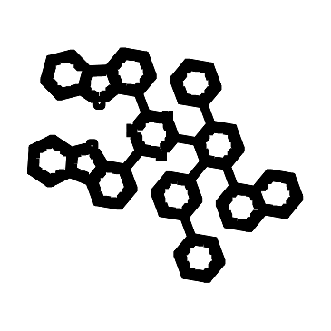 c1ccc(-c2cccc(-c3c(-c4cccc5ccccc45)ccc(-c4ccccc4)c3-c3nc(-c4cccc5c4oc4ccccc45)nc(-c4cccc5c4oc4ccccc45)n3)c2)cc1